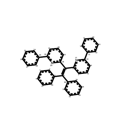 c1ccc(C(=C(c2cccc(-c3ccccc3)n2)c2cccc(-c3ccccc3)n2)c2ccccc2)cc1